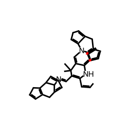 C=C/C=C1/NC(/C=C\C)=C(/C=N/C2C3=CC=CC2C2=C(C=CC2)C3)C(C)(C)/C1=C/N1C2=CCC=C2CC2=C1C=C=C2